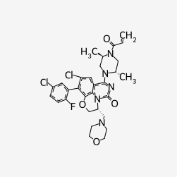 C=CC(=O)N1C[C@H](C)N(c2nc(=O)n3c4c(c(-c5cc(Cl)ccc5F)c(Cl)cc24)OC[C@H]3CN2CCOCC2)C[C@H]1C